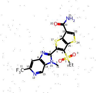 CCS(=O)(=O)c1c(-c2nc3cc(C(F)(F)F)ncc3n2C)sc2c(C(N)=O)csc12